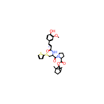 COc1cc(/C=C/C(=O)NC(CSc2cccs2)C(=O)N2CCCC2C(=O)OC2CC3CCC2(C)C3(C)C)ccc1O